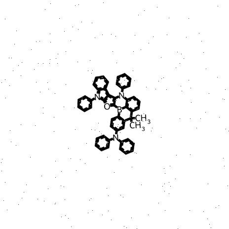 CC1(C)c2cc(N(c3ccccc3)c3ccccc3)ccc2B2c3oc4c(c3N(c3ccccc3)c3cccc1c32)c1ccccc1n4-c1ccccc1